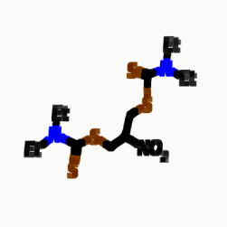 CCN(CC)C(=S)SCC(CSC(=S)N(CC)CC)[N+](=O)[O-]